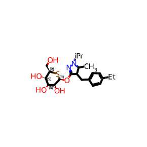 CCc1ccc(CC2C(O[C@@H]3S[C@H](CO)[C@@H](O)[C@H](O)[C@H]3O)=NN(C(C)C)C2C)cc1